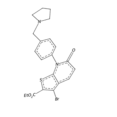 CCOC(=O)c1sc2c(ccc(=O)n2-c2ccc(CN3CCCC3)cc2)c1Br